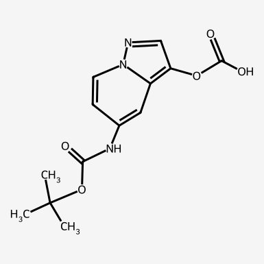 CC(C)(C)OC(=O)Nc1ccn2ncc(OC(=O)O)c2c1